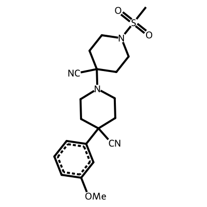 COc1cccc(C2(C#N)CCN(C3(C#N)CCN(S(C)(=O)=O)CC3)CC2)c1